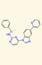 C[C@H](Nc1nccc(-n2cnc3cc(-c4ccccn4)ccc32)n1)c1ccccc1